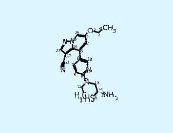 CCOc1cc(-c2ccc(N(CC)C[C@H](N)S)nc2)c2c(C#N)cnn2c1